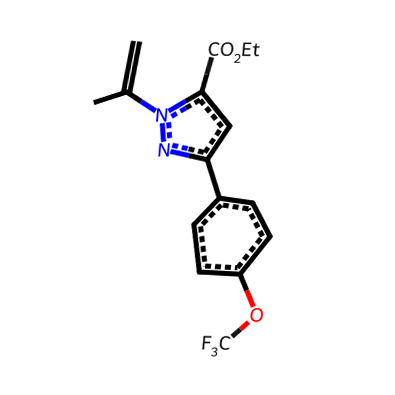 C=C(C)n1nc(-c2ccc(OC(F)(F)F)cc2)cc1C(=O)OCC